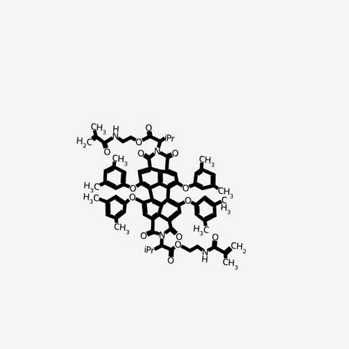 C=C(C)C(=O)NCCOC(=O)C(C(C)C)N1C(=O)c2cc(Oc3cc(C)cc(C)c3)c3c4c(Oc5cc(C)cc(C)c5)cc5c6c(cc(Oc7cc(C)cc(C)c7)c(c7c(Oc8cc(C)cc(C)c8)cc(c2c37)C1=O)c64)C(=O)N(C(C(=O)OCCNC(=O)C(=C)C)C(C)C)C5=O